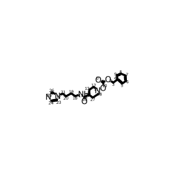 O=C(OCc1ccccc1)ON1CCC(C(=O)NCCCCn2ccnc2)CC1